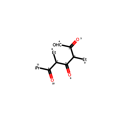 CCC(C(=O)C=O)C(=O)C(CC)C(=O)C(C)C